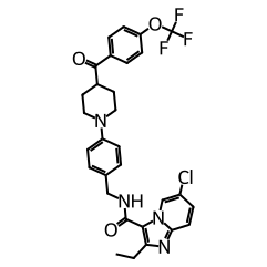 CCc1nc2ccc(Cl)cn2c1C(=O)NCc1ccc(N2CCC(C(=O)c3ccc(OC(F)(F)F)cc3)CC2)cc1